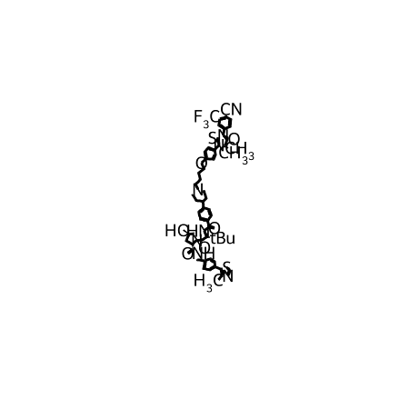 Cc1ncsc1-c1ccc(CNC(=O)[C@@H]2C[C@@H](O)CN2C(=O)[C@@H](NC(=O)c2ccc(C3CCN(CCCCOc4ccc(N5C(=S)N(c6ccc(C#N)c(C(F)(F)F)c6)C(=O)C5(C)C)cc4)CC3)cc2)C(C)(C)C)cc1